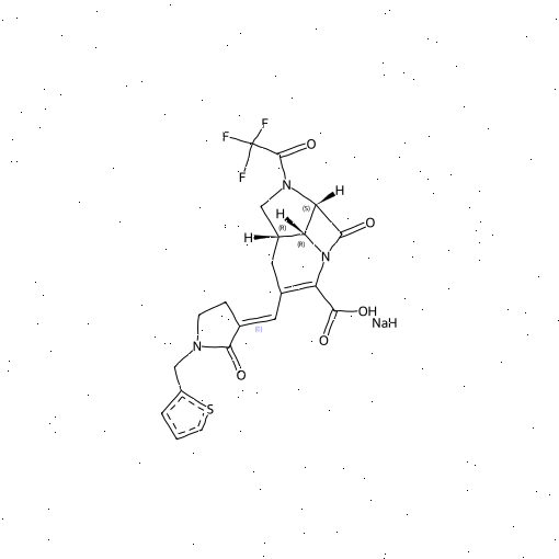 O=C(O)C1=C(/C=C2\CCN(Cc3cccs3)C2=O)C[C@@H]2CN(C(=O)C(F)(F)F)[C@@H]3C(=O)N1[C@H]23.[NaH]